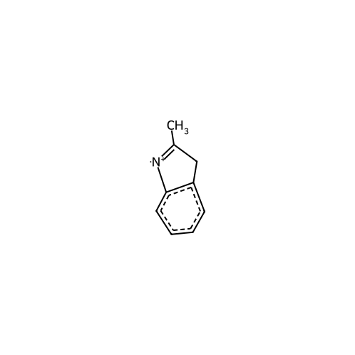 CC1=[N+]c2ccccc2C1